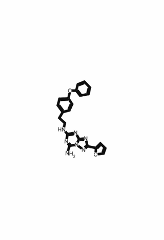 Nc1nc(NCCc2ccc(Oc3ccccc3)cc2)nc2nc(-c3ccco3)nn12